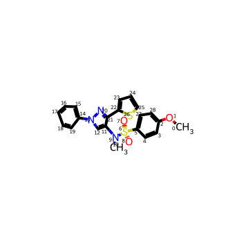 COc1ccc(S(=O)(=O)N(C)c2cn(-c3ccccc3)nc2-c2cccs2)cc1